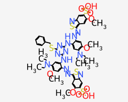 CCN(CC)c1cc(Nc2nc(Nc3cc(N(CC)CC)c(OC)cc3/N=N/c3snc4cc(S(=O)(=O)O)c(OC)cc34)nc(SCc3ccccc3)n2)c(/N=N/c2snc3cc(S(=O)(=O)O)c(OC)cc23)cc1OC